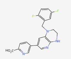 O=C(O)c1ccc(-c2cnc3c(c2)N(Cc2cc(F)ccc2F)CCN3)cn1